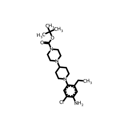 CCc1cc(N)c(Cl)cc1N1CCC(N2CCN(C(=O)OC(C)(C)C)CC2)CC1